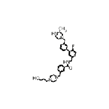 C[C@H]1CN(Cc2cccc(-c3cc(CNC(=O)c4cccc(CN5CCN(CCCO)CC5)c4)ccc3F)c2)CCN1